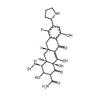 CCN[C@@H]1C(O)C(C(N)=O)C(=O)[C@@]2(O)C(O)=C3C(=O)c4c(O)cc(C5CCCN5)c(F)c4C[C@H]3C[C@@H]12